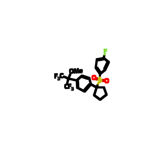 COC(c1ccc(C2(S(=O)(=O)c3ccc(F)cc3)CCCC2)cc1)(C(F)(F)F)C(F)(F)F